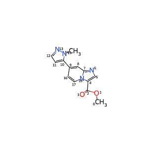 COC(=O)c1cnc2cc(-c3ccnn3C)ccn12